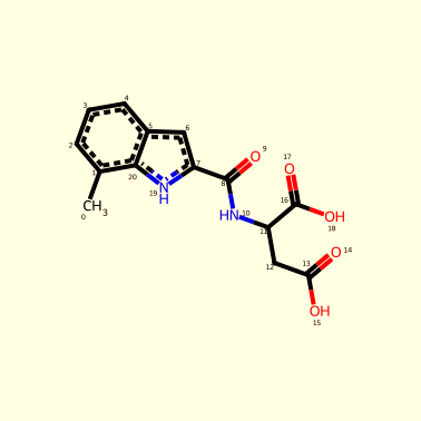 Cc1cccc2cc(C(=O)NC(CC(=O)O)C(=O)O)[nH]c12